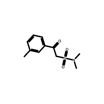 Cc1cccc(C(=O)CS(=O)(=O)N(C)C)c1